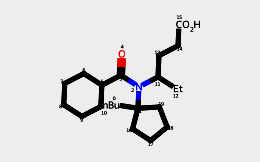 CCCCC1(N(C(=O)C2CCCCC2)C(CC)CCC(=O)O)CCCC1